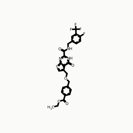 CCOC(=O)c1ccc(COCc2csc3nc(C(=O)NCc4ccc(F)c(C(F)(F)F)c4)[nH]c(=O)c23)cc1